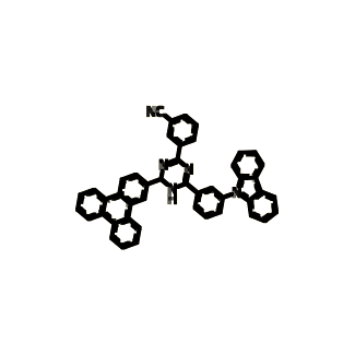 N#Cc1cccc(C2=NC(c3ccc4c5ccccc5c5ccccc5c4c3)NC(c3cccc(-n4c5ccccc5c5ccccc54)c3)=N2)c1